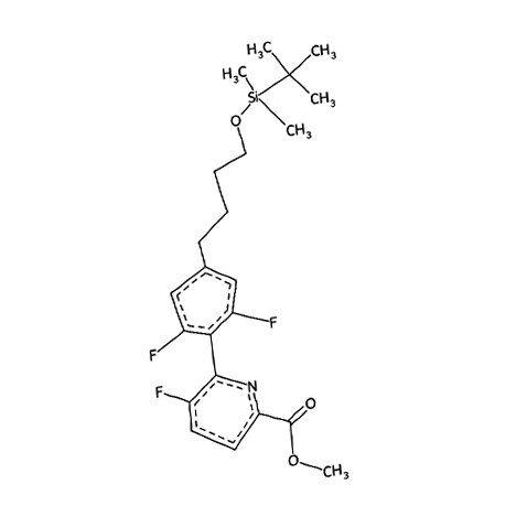 COC(=O)c1ccc(F)c(-c2c(F)cc(CCCCO[Si](C)(C)C(C)(C)C)cc2F)n1